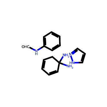 NC1(N)C=CC=CC1.O=CNc1ccccc1.c1cn[nH]c1